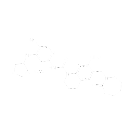 CO[C@@H]1COCC1Nc1cc(NC(=O)N2CCCc3cc(CN4CCCCOC4=O)c(C=O)nc32)ncc1C#N